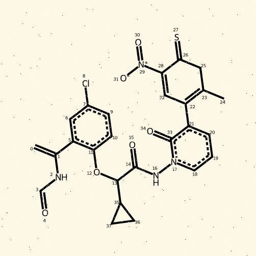 C=C(NC=O)c1cc(Cl)ccc1OC(C(=O)Nn1cccc(C2=C(C)CC(=S)C([N+](=O)[O-])=C2)c1=O)C1CC1